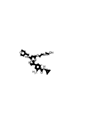 Cc1cc(-c2cnn3c(NCC4CCOCC4)cc(OCCNCCO)nc23)ccc1C(=O)NC1CC1